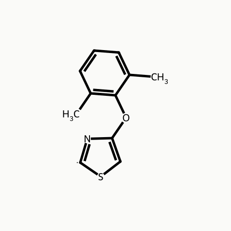 Cc1cccc(C)c1Oc1cs[c]n1